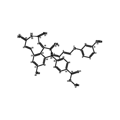 C=C(/C=C\C=C\Oc1cccc(OC)c1)/C1=C\C(=N)NC(=N)/C=C/c2cc(C(C)(C)C)cc(Nc3ccc(C(=O)OCCCC)cc3)c21